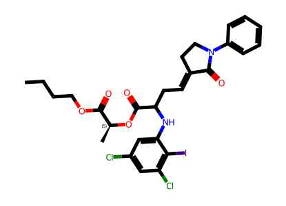 CCCCOC(=O)[C@H](C)OC(=O)C(CC=C1CCN(c2ccccc2)C1=O)Nc1cc(Cl)cc(Cl)c1I